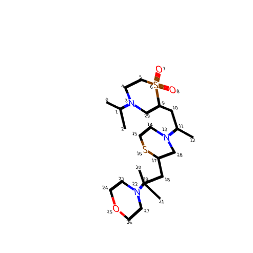 CC(C)N1CCS(=O)(=O)C(CC(C)N2CCSC(CC(C)(C)N3CCOCC3)C2)C1